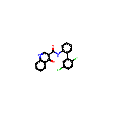 O=C(Nc1ccccc1-c1cc(Cl)ccc1Cl)c1c[nH]c2ccccc2c1=O